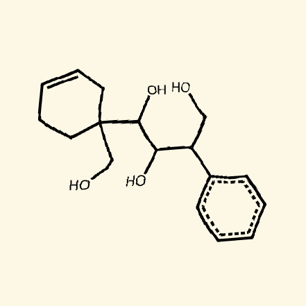 OCC(c1ccccc1)C(O)C(O)C1(CO)CC=CCC1